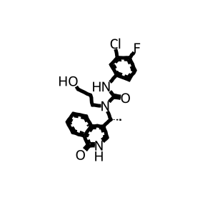 C[C@H](c1c[nH]c(=O)c2ccccc12)N(CCCO)C(=O)Nc1ccc(F)c(Cl)c1